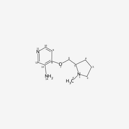 CN1CCCC1COc1ccncc1N